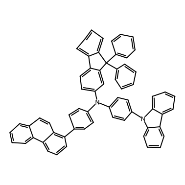 c1ccc(C2(c3ccccc3)c3ccccc3-c3ccc(N(c4ccc(-c5cccc6c5ccc5ccccc56)cc4)c4ccc(-n5c6ccccc6c6ccccc65)cc4)cc32)cc1